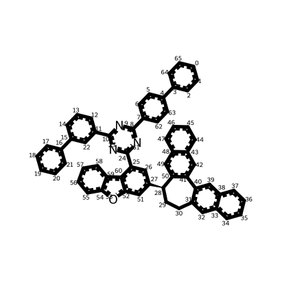 c1ccc(-c2ccc(-c3nc(-c4cccc(-c5ccccc5)c4)nc(-c4cc([C@@H]5CCc6cc7ccccc7cc6-c6cc7ccccc7cc65)cc5oc6ccccc6c45)n3)cc2)cc1